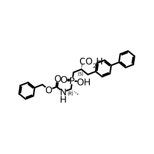 C[C@H](NC(=O)OCc1ccccc1)P(=O)(O)C[C@@H](Cc1ccc(-c2ccccc2)cc1)C(=O)O